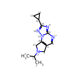 CC(C)N1Cc2cnc3nc(C4CC4)nn3c2C1